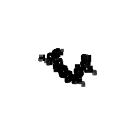 Cc1ccncc1Nc1nc2ccc(CC(=O)N(C)c3ccc(C(C)CC(=O)O)nc3)cc2o1